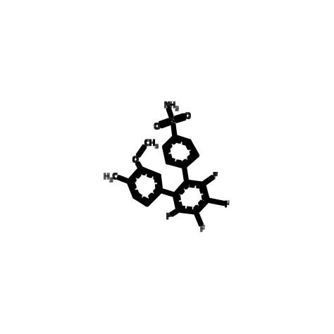 COc1cc(-c2c(F)c(F)c(F)c(F)c2-c2ccc(S(N)(=O)=O)cc2)ccc1C